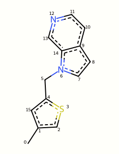 Cc1csc(Cn2ccc3ccncc32)c1